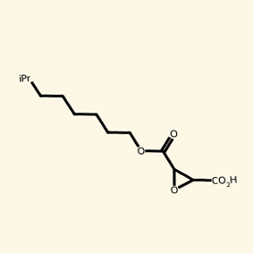 CC(C)CCCCCCOC(=O)C1OC1C(=O)O